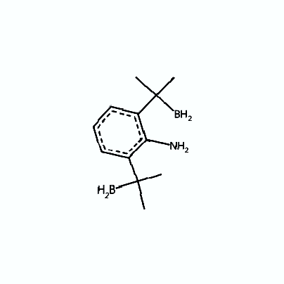 BC(C)(C)c1cccc(C(B)(C)C)c1N